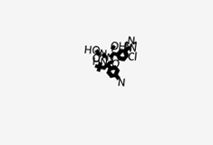 CC(C)(C)CC1(c2ccc(C#N)cc2)NC(=NC(=O)O)N([C@H](CO)c2ccc(Cl)c(-n3cncn3)c2)C1=O